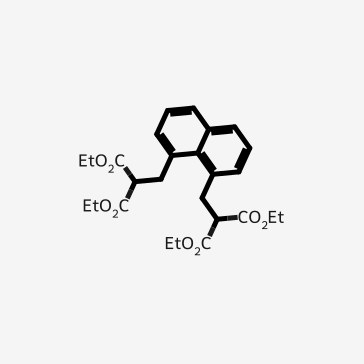 CCOC(=O)C(Cc1cccc2cccc(CC(C(=O)OCC)C(=O)OCC)c12)C(=O)OCC